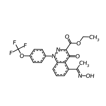 CCOC(=O)c1nn(-c2ccc(OC(F)(F)F)cc2)c2cccc(/C(C)=N/O)c2c1=O